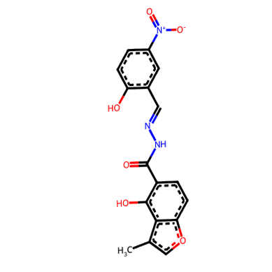 Cc1coc2ccc(C(=O)N/N=C/c3cc([N+](=O)[O-])ccc3O)c(O)c12